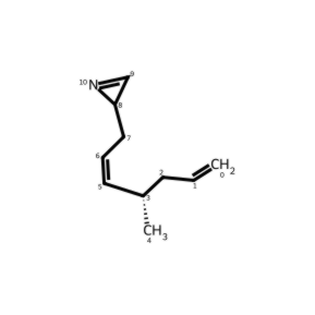 C=CC[C@H](C)/C=C\CC1C=N1